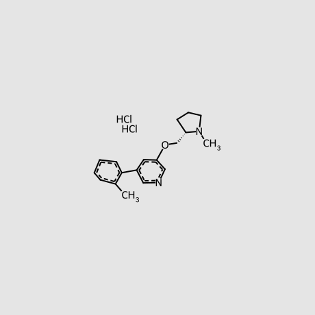 Cc1ccccc1-c1cncc(OC[C@@H]2CCCN2C)c1.Cl.Cl